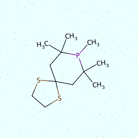 CP1C(C)(C)CC2(CC1(C)C)SCCS2